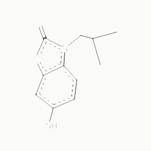 CC(C)Cn1c(=O)sc2cc(N)ccc21